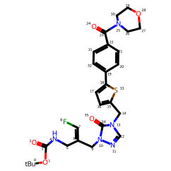 CC(C)(C)OC(=O)NCC(=CF)Cn1ncn(Cc2ccc(-c3ccc(C(=O)N4CCOCC4)cc3)s2)c1=O